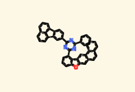 c1ccc(-c2nc(-c3ccc4c(c3)-c3cccc5cccc-4c35)nc(-c3cccc4oc5cc6ccc7ccccc7c6cc5c34)n2)cc1